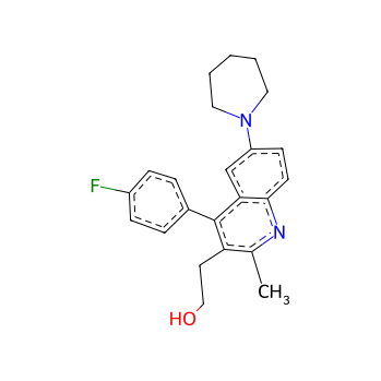 Cc1nc2ccc(N3CCCCC3)cc2c(-c2ccc(F)cc2)c1CCO